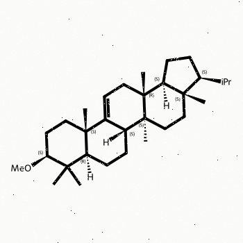 CO[C@H]1CC[C@]2(C)C3=CC[C@]4(C)[C@H]5CC[C@@H](C(C)C)[C@]5(C)CC[C@@]4(C)[C@@H]3CC[C@H]2C1(C)C